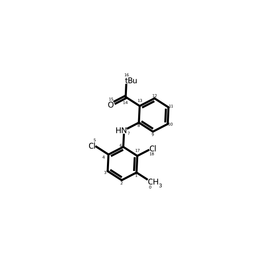 Cc1ccc(Cl)c(Nc2ccccc2C(=O)C(C)(C)C)c1Cl